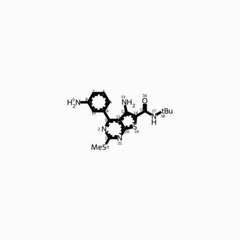 CSc1nc(-c2cccc(N)c2)c2c(N)c(C(=O)NC(C)(C)C)sc2n1